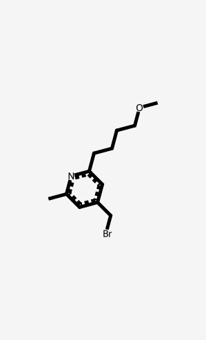 COCCCCc1cc(CBr)cc(C)n1